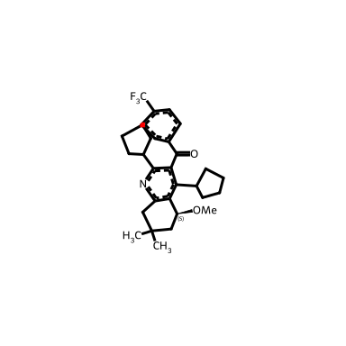 CO[C@H]1CC(C)(C)Cc2nc(C3CCCC3)c(C(=O)c3ccc(C(F)(F)F)cc3)c(C3CCCC3)c21